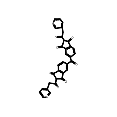 O=C(c1ccc2c(c1)C(=O)C(C(=O)Cc1cccnc1)C2=O)c1ccc2c(c1)C(=O)C(C(=O)Cc1cccnc1)C2=O